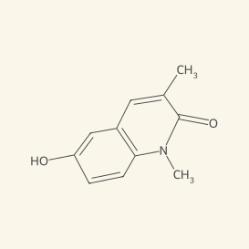 Cc1cc2cc(O)ccc2n(C)c1=O